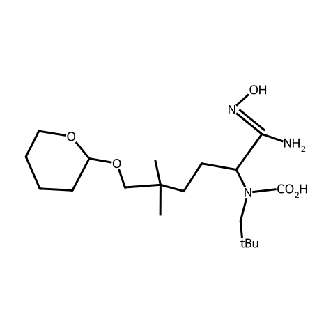 CC(C)(C)CN(C(=O)O)C(CCC(C)(C)COC1CCCCO1)C(N)=NO